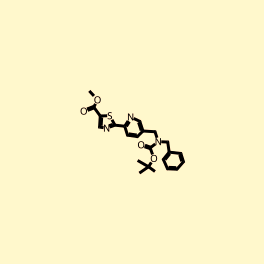 COC(=O)c1cnc(-c2ccc(CN(Cc3ccccc3)C(=O)OC(C)(C)C)cn2)s1